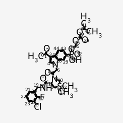 CC(=O)c1cn(CC(=O)N2CS(C)(C)C[C@H]2C(=O)NCc2cccc(Cl)c2F)c2cc(P(=O)(O)OCOC(=O)OC(C)C)ccc12